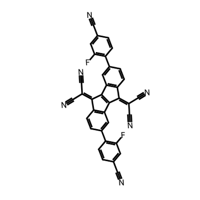 N#CC(C#N)=C1C2=C(C(=C(C#N)C#N)c3ccc(-c4ccc(C#N)cc4F)cc32)c2cc(-c3ccc(C#N)cc3F)ccc21